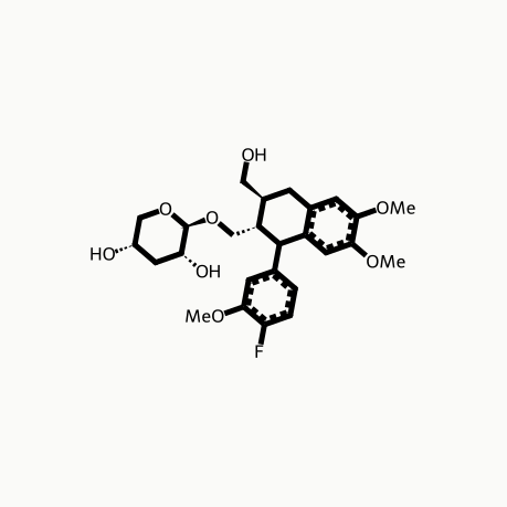 COc1cc(C2c3cc(OC)c(OC)cc3C[C@H](CO)[C@H]2CO[C@@H]2OC[C@@H](O)C[C@H]2O)ccc1F